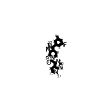 Cc1cc(F)cc(-c2c3c(nn2C)[C@H](C)N(C(=O)c2ncnc4c2ccn4C)CC3)c1